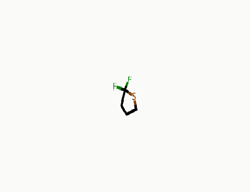 FC1(F)CCCS1